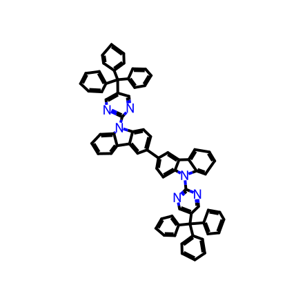 c1ccc(C(c2ccccc2)(c2ccccc2)c2cnc(-n3c4ccccc4c4cc(-c5ccc6c(c5)c5ccccc5n6-c5ncc(C(c6ccccc6)(c6ccccc6)c6ccccc6)cn5)ccc43)nc2)cc1